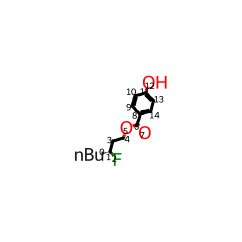 CCCC[C@@H](F)CCOC(=O)c1ccc(O)cc1